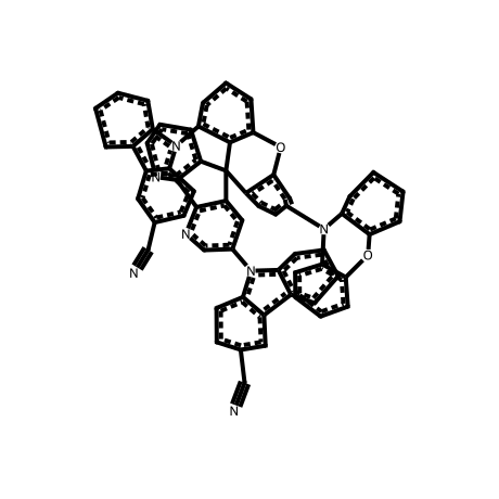 N#Cc1ccc2c(c1)c1ccccc1n2-c1cnc2c(c1)C1(c3ccc(N4c5ccccc5Oc5ccccc54)cc3Oc3cccc(-n4c5ccccc5c5cc(C#N)ccc54)c31)c1cccnc1-2